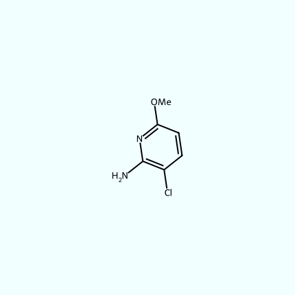 COc1ccc(Cl)c(N)n1